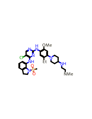 CCc1cc(Nc2ncc(Cl)c(Nc3cccc4c3N(S(C)(=O)=O)CC4)n2)c(OC)cc1N1CCC(NCCNC)CC1